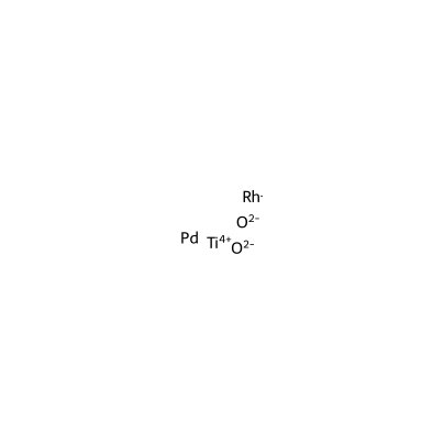 [O-2].[O-2].[Pd].[Rh].[Ti+4]